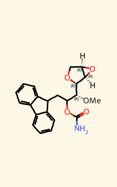 CO[C@H](C(CC1c2ccccc2-c2ccccc21)OC(N)=O)[C@H]1OC[C@H]2O[C@@H]12